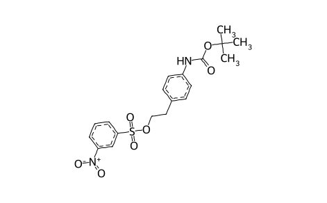 CC(C)(C)OC(=O)Nc1ccc(CCOS(=O)(=O)c2cccc([N+](=O)[O-])c2)cc1